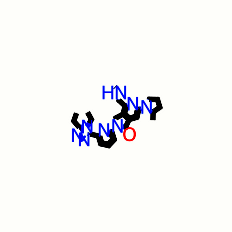 CCc1nnc(-c2cccc(N3Cc4c(cc(N5CCCC5C)nc4CNC)C3=O)n2)n1CC